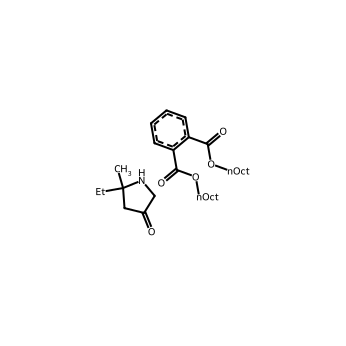 CCC1(C)CC(=O)CN1.CCCCCCCCOC(=O)c1ccccc1C(=O)OCCCCCCCC